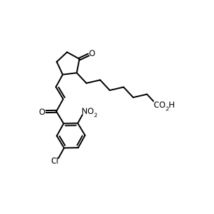 O=C(O)CCCCCCC1C(=O)CCC1C=CC(=O)c1cc(Cl)ccc1[N+](=O)[O-]